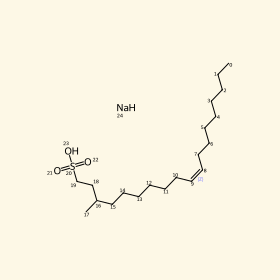 CCCCCCCC/C=C\CCCCCCC(C)CCS(=O)(=O)O.[NaH]